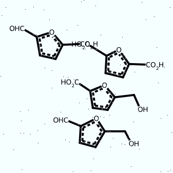 O=C(O)c1ccc(C(=O)O)o1.O=C(O)c1ccc(CO)o1.O=Cc1ccc(C(=O)O)o1.O=Cc1ccc(CO)o1